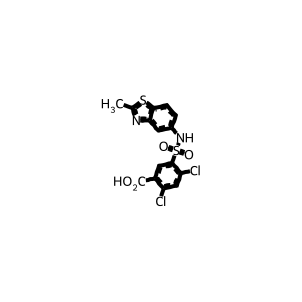 Cc1nc2cc(NS(=O)(=O)c3cc(C(=O)O)c(Cl)cc3Cl)ccc2s1